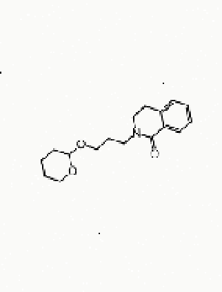 O=C1c2ccccc2CCN1CCCOC1CCCCO1